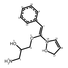 NCC(O)COC(=Cc1ccccc1)N1C=CCO1